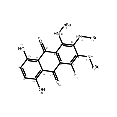 CCCCNc1c(F)c2c(c(NCCCC)c1NCCCC)C(=O)c1c(O)ccc(O)c1C2=O